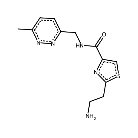 Cc1ccc(CNC(=O)c2csc(CCN)n2)nn1